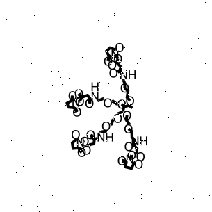 CC(OCCOCCNC(=O)CC(=O)ON1C(=O)CCC1=O)C(OCCOCCNC(=O)CC(=O)ON1C(=O)CCC1=O)C(COCCOCCNC(=O)CC(=O)ON1C(=O)CCC1=O)OCCOCCNC(=O)CC(=O)ON1C(=O)CCC1=O